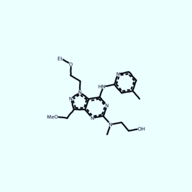 CCOCCn1nc(COC)c2nc(N(C)CCO)nc(Nc3cc(C)ccn3)c21